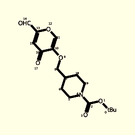 CC(C)(C)OC(=O)N1CCC(COc2coc(C=O)cc2=O)CC1